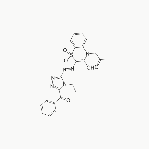 CCn1c(N=NC2=C(O)N(CC(C)=O)c3ccccc3S2(=O)=O)nnc1C(=O)c1ccccc1